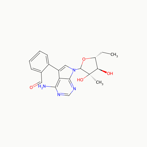 CC[C@H]1OC(n2cc(-c3ccccc3C=O)c3c(N)ncnc32)[C@](C)(O)[C@@H]1O